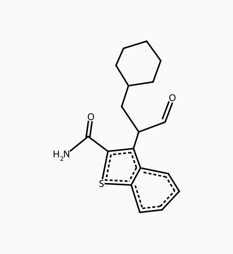 NC(=O)c1sc2ccccc2c1C(C=O)CC1CCCCC1